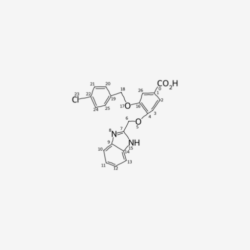 O=C(O)c1ccc(OCc2nc3ccccc3[nH]2)c(OCc2ccc(Cl)cc2)c1